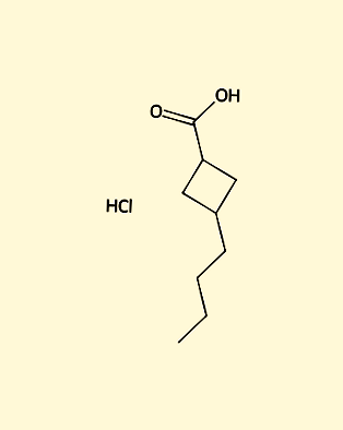 CCCCC1CC(C(=O)O)C1.Cl